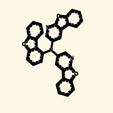 c1ccc2c(c1)oc1ncc(N(c3cnc4oc5ccccc5c4c3)c3cccc4oc5ccccc5c34)cc12